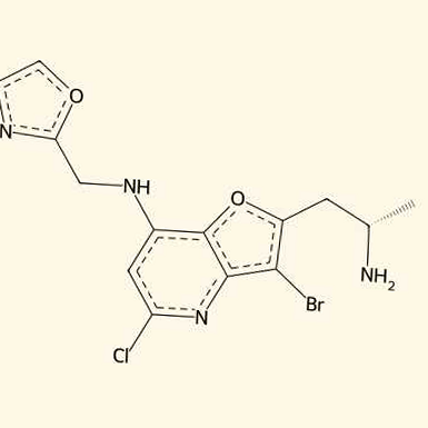 C[C@H](N)Cc1oc2c(NCc3ncco3)cc(Cl)nc2c1Br